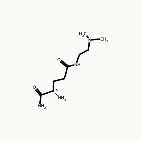 CN(C)CCNC(=O)CC[C@H](N)C(N)=O